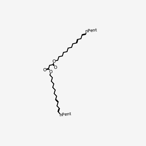 CCCCCC=CCC=CCCCCCCCCOC(=O)CC(=O)OCCCCCCCCC=CCC=CCCCCC